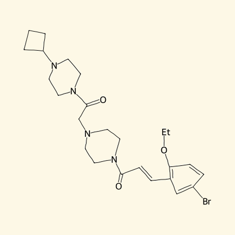 CCOc1ccc(Br)cc1/C=C/C(=O)N1CCN(CC(=O)N2CCN(C3CCC3)CC2)CC1